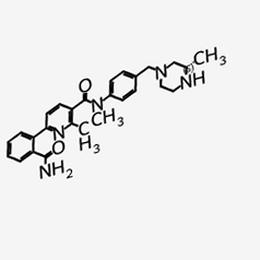 Cc1nc(-c2ccccc2C(N)=O)ccc1C(=O)N(C)c1ccc(CN2CCN[C@@H](C)C2)cc1